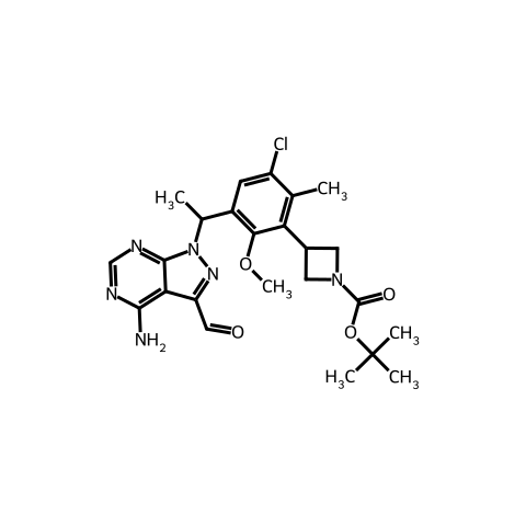 COc1c(C(C)n2nc(C=O)c3c(N)ncnc32)cc(Cl)c(C)c1C1CN(C(=O)OC(C)(C)C)C1